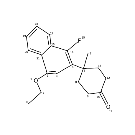 CCOc1cc(C2(C)CCC(=O)CC2)c(F)c2ccccc12